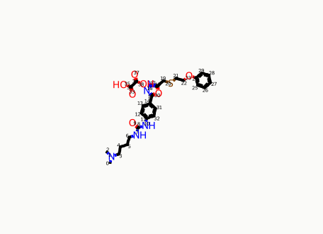 CN(C)CCCCNC(=O)Nc1ccc(-c2nnc(CSCCOc3ccccc3)o2)cc1.O=C(O)C(=O)O